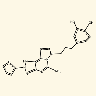 NC1=NC2=NN(c3ccco3)NC2=C2N=CN(CCCc3ccc(O)c(O)c3)N12